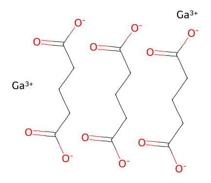 O=C([O-])CCCC(=O)[O-].O=C([O-])CCCC(=O)[O-].O=C([O-])CCCC(=O)[O-].[Ga+3].[Ga+3]